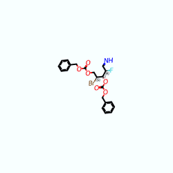 N=C[C@@H](F)[C@H](OC(=O)OCc1ccccc1)[C@@H](Br)COC(=O)OCc1ccccc1